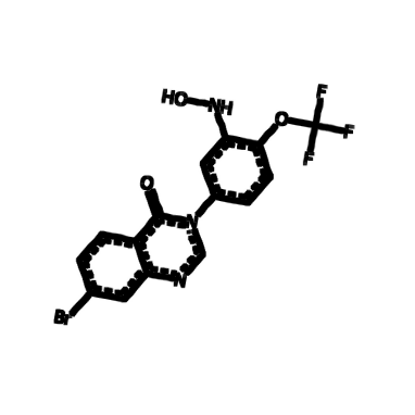 O=c1c2ccc(Br)cc2ncn1-c1ccc(OC(F)(F)F)c(NO)c1